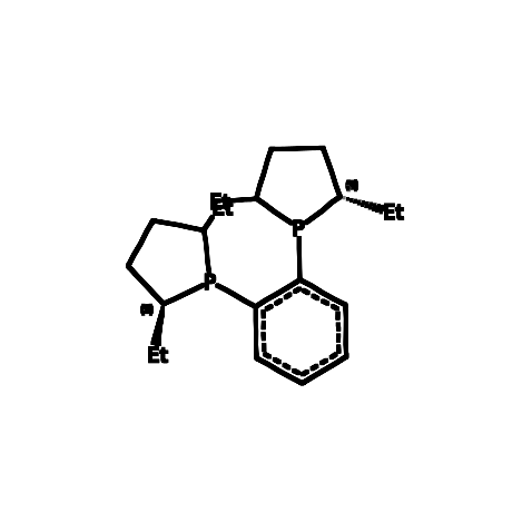 CCC1CC[C@H](CC)P1c1ccccc1P1C(CC)CC[C@@H]1CC